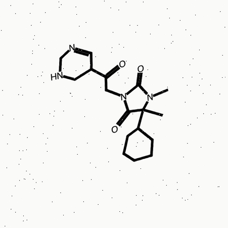 CN1C(=O)N(CC(=O)C2C=NCNC2)C(=O)C1(C)C1CCCCC1